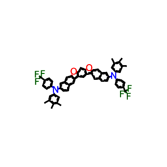 Cc1cc(N(c2ccc(C(F)(F)F)cc2)c2ccc3cc4c(cc3c2)oc2cc3oc5cc6cc(N(c7ccc(C(F)(F)F)cc7)c7cc(C)c(C)c(C)c7)ccc6cc5c3cc24)cc(C)c1C